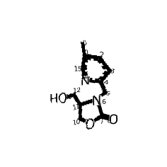 Cc1ccc(CN2C(=O)OCC2CO)nc1